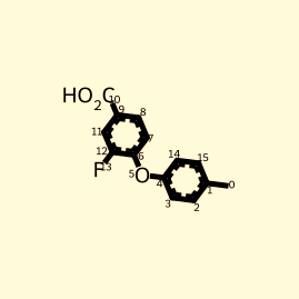 Cc1ccc(Oc2ccc(C(=O)O)cc2F)cc1